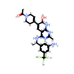 CC(=O)N1CC=C(C2=Cc3c(nc(C)nc3N[C@H](C)c3cc(N)cc(C(F)(F)F)c3)NC2O)CC1